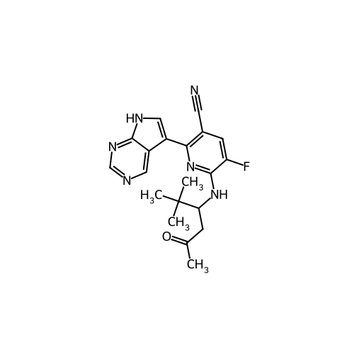 CC(=O)CC(Nc1nc(-c2c[nH]c3ncncc23)c(C#N)cc1F)C(C)(C)C